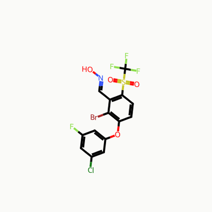 O=S(=O)(c1ccc(Oc2cc(F)cc(Cl)c2)c(Br)c1/C=N/O)C(F)(F)F